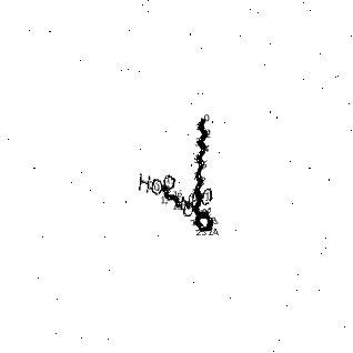 CCCCCCCCC=CC(=O)C(ONCCCC(=O)O)c1ccccc1